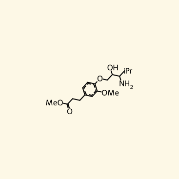 COC(=O)CCc1ccc(OCC(O)C(N)C(C)C)c(OC)c1